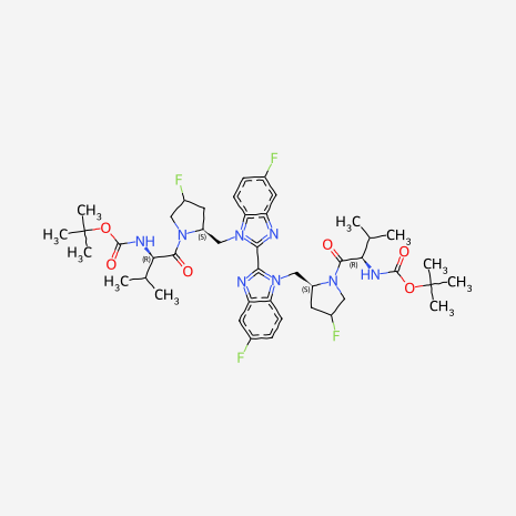 CC(C)[C@@H](NC(=O)OC(C)(C)C)C(=O)N1CC(F)C[C@H]1Cn1c(-c2nc3cc(F)ccc3n2C[C@@H]2CC(F)CN2C(=O)[C@H](NC(=O)OC(C)(C)C)C(C)C)nc2cc(F)ccc21